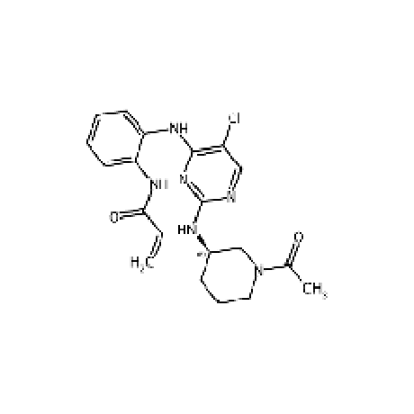 C=CC(=O)Nc1ccccc1Nc1nc(N[C@@H]2CCCN(C(C)=O)C2)ncc1Cl